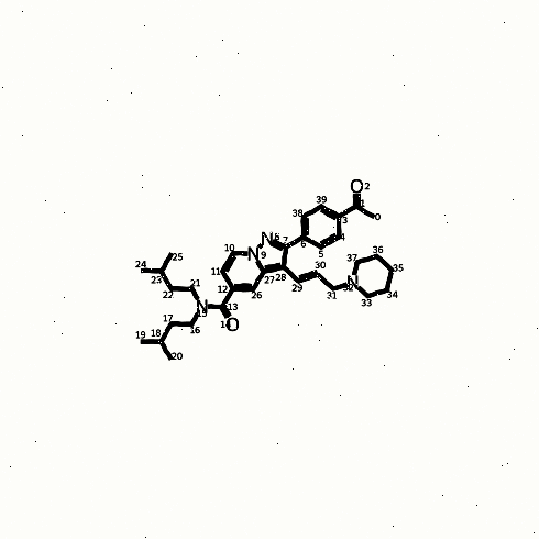 CC(=O)c1ccc(-c2nn3ccc(C(=O)N(CCC(C)C)CCC(C)C)cc3c2/C=C/CN2CCCCC2)cc1